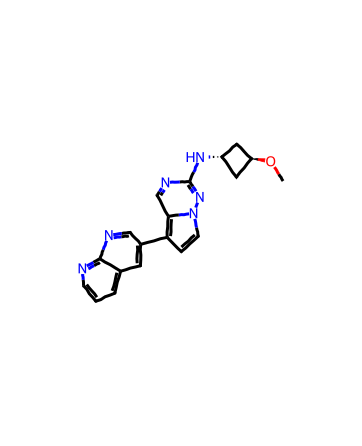 CO[C@H]1C[C@H](Nc2ncc3c(-c4cnc5ncccc5c4)ccn3n2)C1